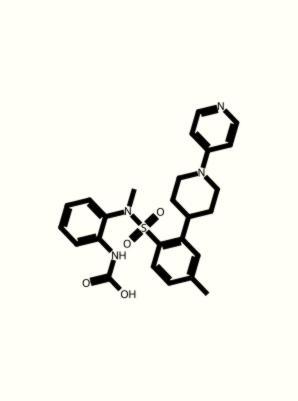 Cc1ccc(S(=O)(=O)N(C)c2ccccc2NC(=O)O)c(C2CCN(c3ccncc3)CC2)c1